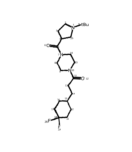 CC(C)(C)N1CCC(C(=O)N2CCN(C(=O)CCC3CCC(F)(F)CC3)CC2)C1